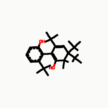 CC(C)(C)C1=CC(C(C)(C)C)(C(C)(C)C)C(C)(C)C(O)=C1c1c(O)cccc1C(C)(C)C